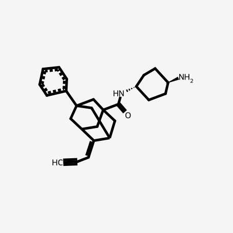 C#CC=C1C2CC3(C(=O)N[C@H]4CC[C@H](N)CC4)CC1CC(c1ccccc1)(C2)C3